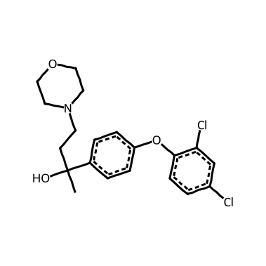 CC(O)(CCN1CCOCC1)c1ccc(Oc2ccc(Cl)cc2Cl)cc1